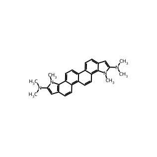 CN(C)c1cc2ccc3c4ccc5c(ccc6cc(N(C)C)n(C)c65)c4ccc3c2n1C